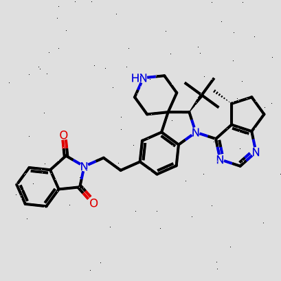 C[C@@H]1CCc2ncnc(N3c4ccc(CCN5C(=O)c6ccccc6C5=O)cc4C4(CCNCC4)[C@H]3C(C)(C)C)c21